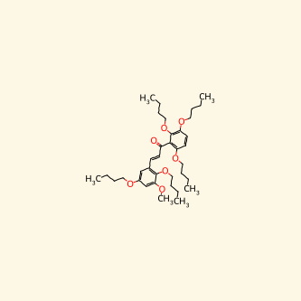 CCCCOc1cc(C=CC(=O)c2c(OCCCC)ccc(OCCCC)c2OCCCC)c(OCCCC)c(OC)c1